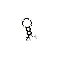 CC(C)(O)c1cc2cc3c(cc2cc1N)OCCOCCOCCO3